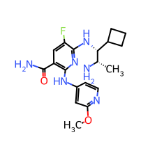 COc1cc(Nc2nc(N[C@H](C3CCC3)[C@H](C)N)c(F)cc2C(N)=O)ccn1